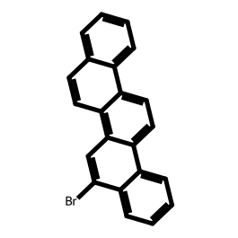 Brc1cc2c(ccc3c4ccccc4ccc32)c2ccccc12